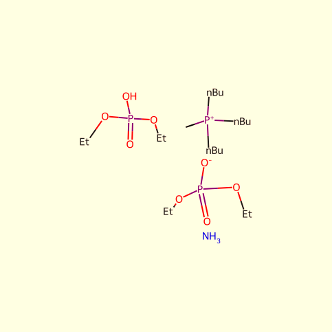 CCCC[P+](C)(CCCC)CCCC.CCOP(=O)(O)OCC.CCOP(=O)([O-])OCC.N